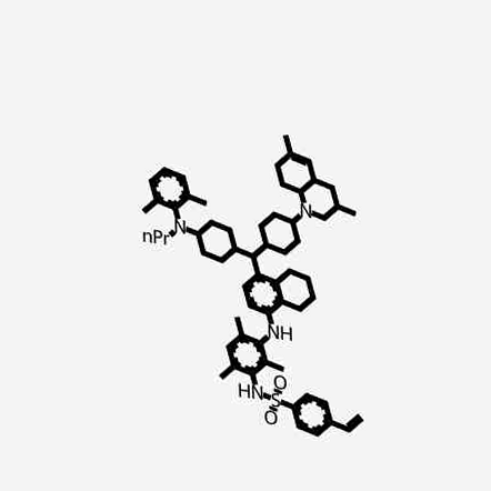 C=Cc1ccc(S(=O)(=O)Nc2c(C)cc(C)c(Nc3ccc(C(C4CCC(N(CCC)c5c(C)cccc5C)CC4)C4CCC(N5CC(C)CC6C=C(C)CCC65)CC4)c4c3CCCC4)c2C)cc1